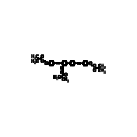 C=C(C)C(=O)OCOc1ccc(C#Cc2ccc(-c3ccc(C#Cc4ccc(OCOC(=O)C(=C)C)cc4)c(OCOC(=O)C(=C)C)c3)cc2)cc1